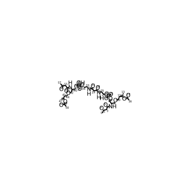 CC(=O)CC(=O)NC(COCC[C@@H](C)OC(C)=O)COP(=O)(O)OCCNC(=O)CC(=O)NCCOP(=O)(O)OCC(COCC[C@@H](C)OC(C)=O)NC(=O)CC(C)=O